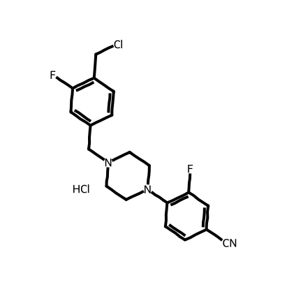 Cl.N#Cc1ccc(N2CCN(Cc3ccc(CCl)c(F)c3)CC2)c(F)c1